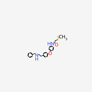 CSCCC(=O)Nc1ccc(Oc2ccc(CCNCc3ccccc3)cc2)cc1